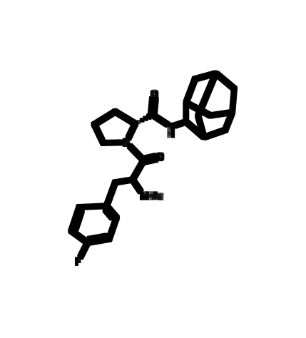 CC(=O)NC(Cc1ccc(F)cc1)C(=O)N1CCC[C@@H]1C(=O)NC1C2CC3CC(C2)CC1C3